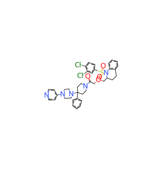 O=C(COCC1CCc2ccccc2N1S(=O)(=O)c1ccc(Cl)c(Cl)c1)N1CCC(c2ccccc2)(N2CCN(c3ccncc3)CC2)CC1